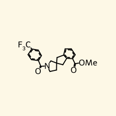 COC(=O)c1cccc2c1CC1(CCN(C(=O)c3ccc(C(F)(F)F)cc3)C1)C2